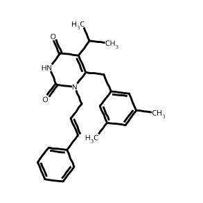 Cc1cc(C)cc(Cc2c(C(C)C)c(=O)[nH]c(=O)n2CC=Cc2ccccc2)c1